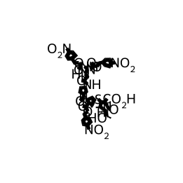 C[C@@H](O)[C@H]1C(=O)N2C(C(=O)O)=C(S[C@H]3C[C@@H](C(=O)N4CC[C@H](NC(=O)CNC(=NC(=O)OCc5ccc([N+](=O)[O-])cc5)NC(=O)OCc5ccc([N+](=O)[O-])cc5)C4)N(C(=O)OCc4ccc([N+](=O)[O-])cc4)C3)[C@H](C)[C@H]12